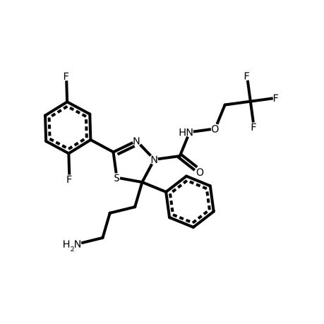 NCCCC1(c2ccccc2)SC(c2cc(F)ccc2F)=NN1C(=O)NOCC(F)(F)F